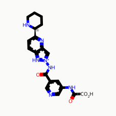 O=C(O)C(=O)Nc1cncc(C(=O)N[n+]2cc3nc([C@@H]4CCCCN4)ccc3[nH]2)c1